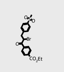 CCOC(=O)c1ccc(C(=O)C(Br)Cc2ccc(S(C)(=O)=O)cc2)cc1